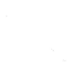 O=Cc1ccccc1Oc1ccc2c(c1)N1C=CN(C(=O)O)C1S2